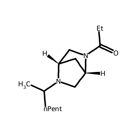 CCCCCC(C)N1C[C@@H]2C[C@H]1CN2C(=O)CC